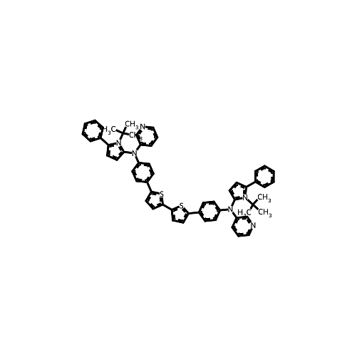 CC(C)(C)n1c(-c2ccccc2)ccc1N(c1ccc(-c2ccc(-c3ccc(-c4ccc(N(c5cccnc5)c5ccc(-c6ccccc6)n5C(C)(C)C)cc4)s3)s2)cc1)c1cccnc1